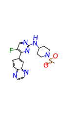 CS(=O)(=O)N1CCC(Nc2ncc(F)c(-c3ccc4nccnc4c3)n2)CC1